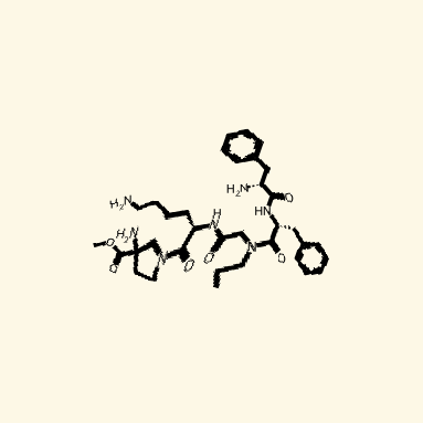 CCCN(CC(=O)N[C@H](CCCCN)C(=O)N1CCC(N)(C(=O)OC)C1)C(=O)[C@@H](Cc1ccccc1)NC(=O)[C@H](N)Cc1ccccc1